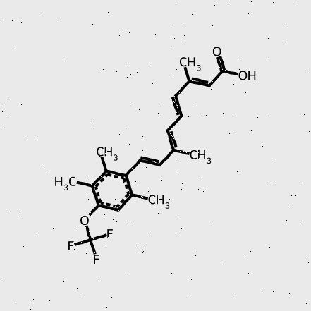 CC(C=Cc1c(C)cc(OC(F)(F)F)c(C)c1C)=CC=CC(C)=CC(=O)O